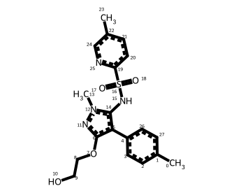 Cc1ccc(-c2c(OCCO)nn(C)c2NS(=O)(=O)c2ccc(C)cn2)cc1